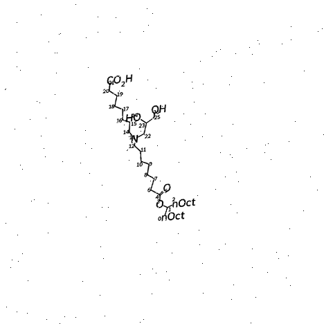 CCCCCCCCC(CCCCCCCC)OC(=O)CCCCCCCN(CCCCCCCC(=O)O)CC(O)CO